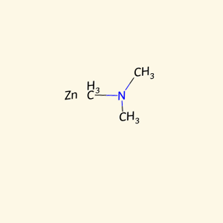 CN(C)C.[Zn]